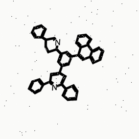 C1=NC(c2cc(-c3cc(-c4ccccc4)nc(-c4ccccc4)c3)cc(-c3cc4ccccc4c4ccccc34)c2)CCC1c1ccccc1